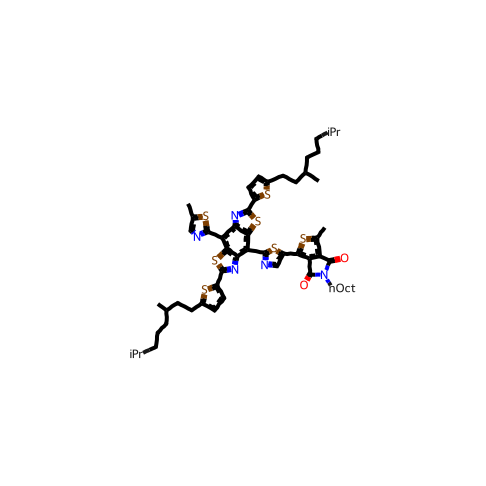 CCCCCCCCN1C(=O)c2c(C)sc(-c3cnc(-c4c5nc(-c6ccc(CCC(C)CCCC(C)C)s6)sc5c(-c5ncc(C)s5)c5nc(-c6ccc(CCC(C)CCCC(C)C)s6)sc45)s3)c2C1=O